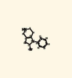 BrC1SC2=C(CCNC2)N1c1cc[c]cn1